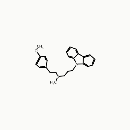 COc1ccc(CCN(C)CCCn2c3ccccc3c3ccccc32)cc1